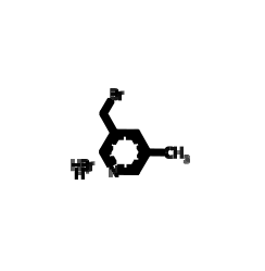 Br.Cc1cncc(CBr)c1.[H+]